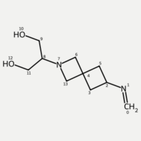 C=NC1CC2(C1)CN(C(CO)CO)C2